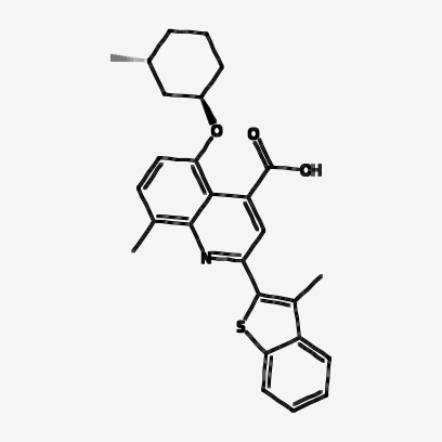 Cc1c(-c2cc(C(=O)O)c3c(O[C@@H]4CCC[C@@H](C)C4)ccc(C)c3n2)sc2ccccc12